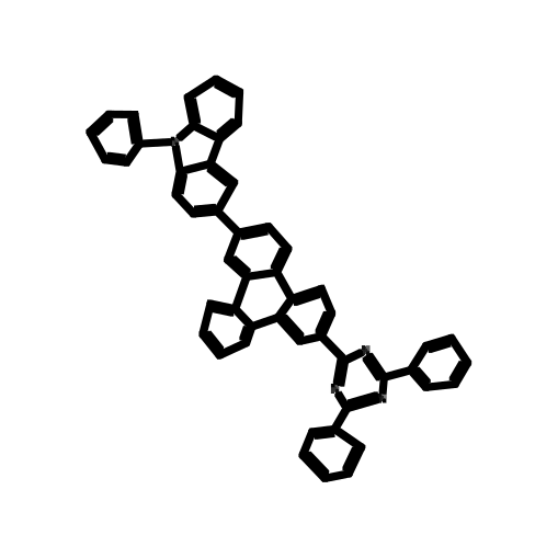 c1ccc(-c2nc(-c3ccccc3)nc(-c3ccc4c5ccc(-c6ccc7c(c6)c6ccccc6n7-c6ccccc6)cc5c5ccccc5c4c3)n2)cc1